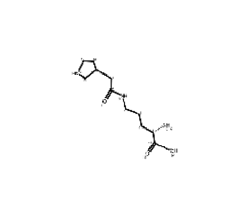 N[C@@H](CCCNC(=O)CC1CCNC1)C(=O)O